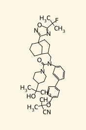 CC(C)(C#N)Oc1ccc(-c2cccc(N(CC3CCC4(c5noc(C(C)(C)F)n5)CCCC3C4)C(=O)N3CCC(C(C)(C)O)CC3)c2)cc1